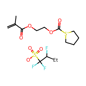 C=C(C)C(=O)OCCOC(=O)[S+]1CCCC1.CCC(F)C(F)(F)S(=O)(=O)[O-]